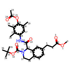 COC(=O)CCc1ccc2c(c1)C(C(=O)Nc1cc(C)c(OC(C)=O)c(C)c1C)N(C(=O)OC(C)(C)C)CC2